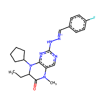 CCC1C(=O)N(C)c2cnc(N/N=C/c3ccc(F)cc3)nc2N1C1CCCC1